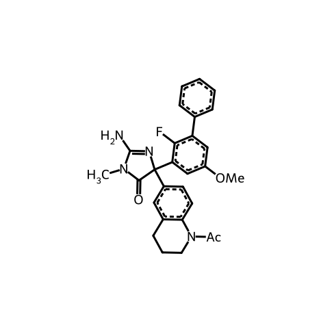 COc1cc(-c2ccccc2)c(F)c(C2(c3ccc4c(c3)CCCN4C(C)=O)N=C(N)N(C)C2=O)c1